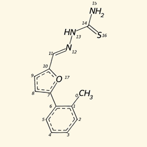 Cc1ccccc1-c1ccc(C=NNC(N)=S)o1